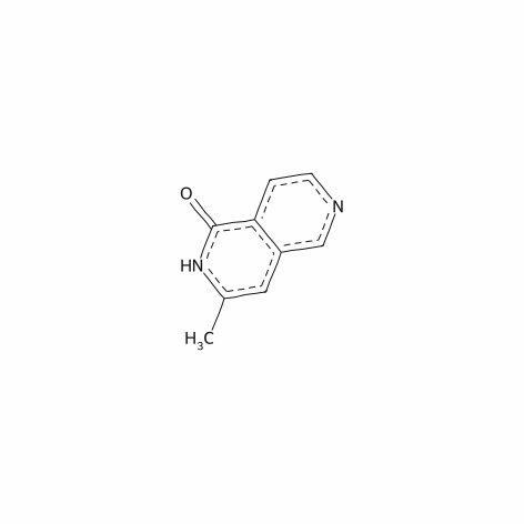 Cc1cc2cnccc2c(=O)[nH]1